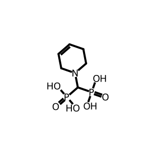 O=P(O)(O)C(N1CC=CCC1)P(=O)(O)O